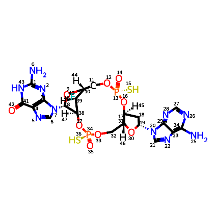 Nc1nc2c(ncn2[C@@H]2O[C@@H]3CO[P@](=O)(S)O[C@H]4C[C@H](n5cnc6c(N)ncnc65)O[C@@H]4CO[P@@](=O)(S)O[C@@H]2[C@@H]3F)c(=O)[nH]1